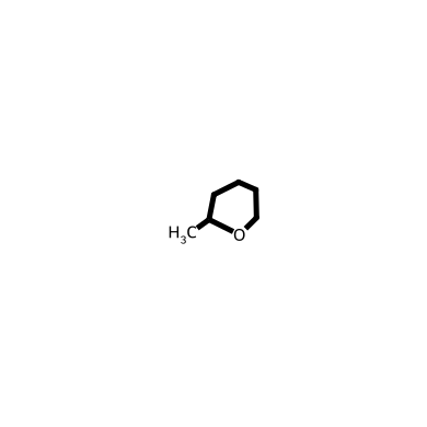 CC1CCCCO1